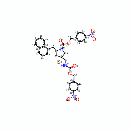 O=C(NC[C@@]1(S)C[C@@H](Cc2cccc3ccccc23)N(C(=O)OCc2ccc([N+](=O)[O-])cc2)C1)OCc1ccc([N+](=O)[O-])cc1